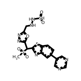 CS(=O)(=O)C(c1nnc(CNN[SH](=O)=O)o1)c1nc2cc(-c3cncnc3)ccc2s1